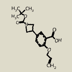 C=CCOc1ccc(C2CN(C(=O)OC(C)(C)C)C2)cc1C(=O)O